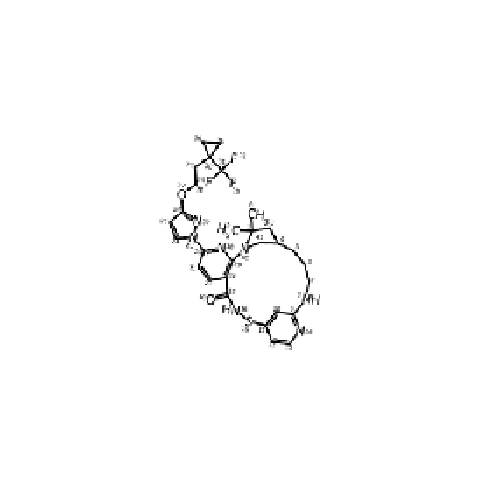 CC1(C)CC2CCCNc3cc(ccn3)SNC(=O)c3ccc(-n4ccc(OCCC5(C(F)(F)F)CC5)n4)nc3N1C2